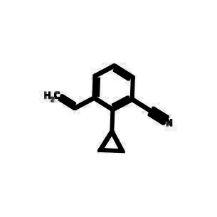 C=Cc1cccc(C#N)c1C1CC1